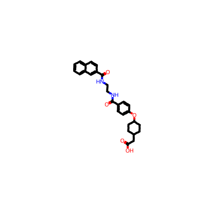 O=C(O)CC1CCC(Oc2ccc(C(=O)NCCNC(=O)c3ccc4ccccc4c3)cc2)CC1